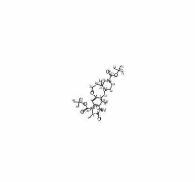 CC1C(=O)Nc2c(cc3c(c2F)CN2CCN(C(=O)OC(C)(C)C)C[C@H]2CCO3)N1C(=O)OC(C)(C)C